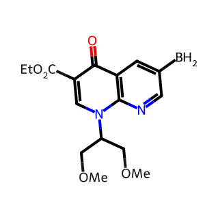 Bc1cnc2c(c1)c(=O)c(C(=O)OCC)cn2C(COC)COC